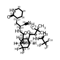 CC(C)(C)[C@H](NC(=O)C(F)(F)F)C(=O)N1[C@H]2CC[C@@H]([C@@H]1C(=O)N[C@H](C#N)C[C@@H]1CCCNC1=O)C(F)(F)C2